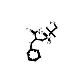 CC(C)(CO)S(=O)(=O)CC(Cc1ccccc1)C(=O)O